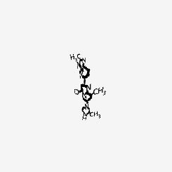 Cc1nc2ccc(-c3cc(=O)n4cc(N5CCN[C@H](C)C5)cc(C)c4n3)nn2n1